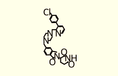 O=C1CCC(N2Cc3cc(CN4CCN(Cc5ncccc5-c5ccc(Cl)cc5)CC4)ccc3C2=O)C(=O)N1